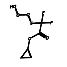 O=C(OC1CC1)C(F)(F)SOOO